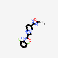 O=C(Nc1c(F)cccc1F)c1cn2cc(-c3noc(C(F)(F)F)n3)ccc2n1